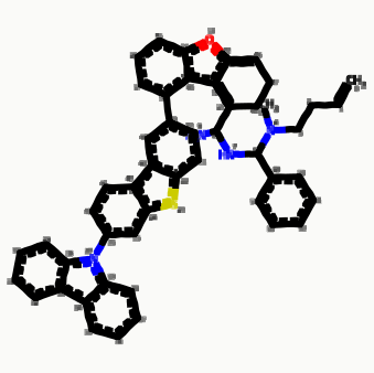 C=CCCN(C)C(NC(N)C1=c2c(oc3cccc(-c4ccc5sc6cc(-n7c8ccccc8c8ccccc87)ccc6c5c4)c23)=CCC1)c1ccccc1